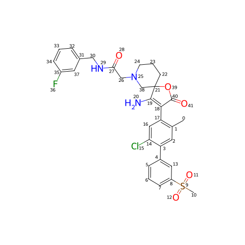 Cc1cc(-c2cccc(S(C)(=O)=O)c2)c(Cl)cc1C1=C(N)C2(CCCN(CC(=O)NCc3cccc(F)c3)C2)OC1=O